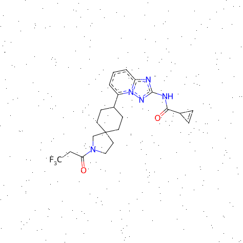 O=C(Nc1nc2cccc(C3CCC4(CC3)CCN(C(=O)CC(F)(F)F)C4)n2n1)C1C=C1